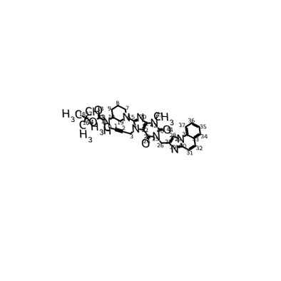 CC#CCn1c(N2CCCC(NC(=O)OC(C)(C)C)C2)nc2c1c(=O)n(Cc1cn3c(ccc4ccccc43)n1)c(=O)n2C